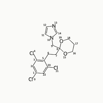 Clc1cc(Cl)c(CCC2(Cn3ccnc3)OCCCO2)c(Cl)c1